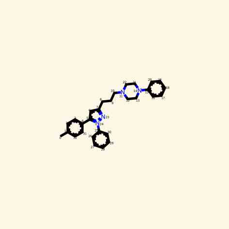 Cc1ccc(-c2cc(CCCN3CCN(c4ccccc4)CC3)nn2-c2ccccc2)cc1